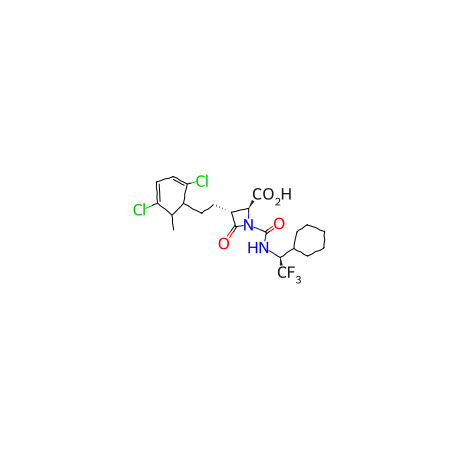 CC1C(Cl)=CC=C(Cl)C1CC[C@H]1C(=O)N(C(=O)N[C@@H](C2CCCCC2)C(F)(F)F)[C@@H]1C(=O)O